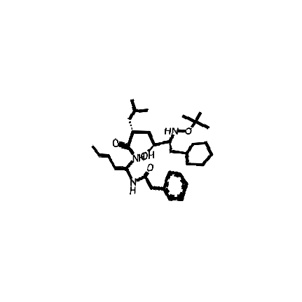 CCCCC(NC(=O)Cc1ccccc1)NC(=O)[C@H](CC(C)C)C[C@H](O)[C@H](CC1CCCCC1)NOC(C)(C)C